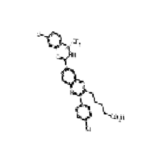 O=C(O)CCCCc1nc2cc(C(=O)N[C@H](c3ccc(Cl)cc3)C(F)(F)F)ccc2nc1-c1ccc(Cl)cc1